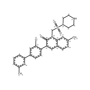 Cc1cccc(-c2ccc(-c3cc4cnc(C)nc4n(CS(=O)(=O)N4CCNCC4)c3=O)c(Cl)c2)n1